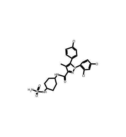 Cc1c(C(=O)NC2CCC(NS(N)(=O)=O)CC2)nn(-c2ccc(Cl)cc2Cl)c1-c1ccc(Cl)cc1